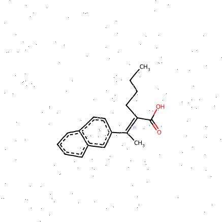 CCCC/C(C(=O)O)=C(/C)c1ccc2ccccc2c1